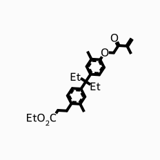 C=C(C)C(=O)COc1ccc(C(CC)(CC)c2ccc(CCC(=O)OCC)c(C)c2)cc1C